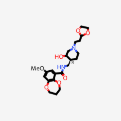 COc1cc2c(c(C(=O)NC[C@@H]3CCN(CCC4OCCO4)CC3O)c1)OCCCO2